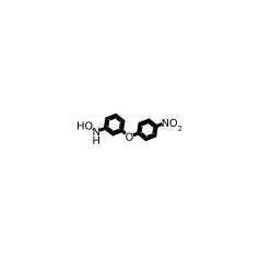 O=[N+]([O-])c1ccc(Oc2cccc(NO)c2)cc1